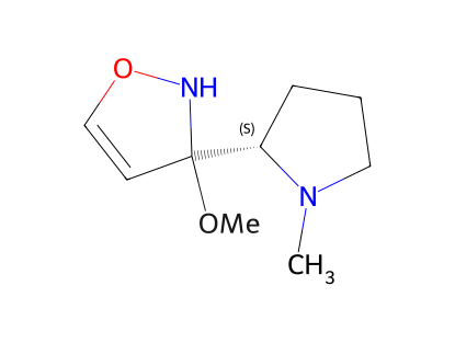 COC1([C@@H]2CCCN2C)C=CON1